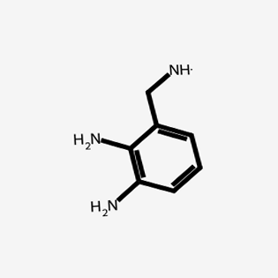 [NH]Cc1cccc(N)c1N